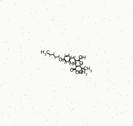 CCCCCOc1ccc(CC(NC(CC(C)C)C(=O)O)C(=O)O)cc1